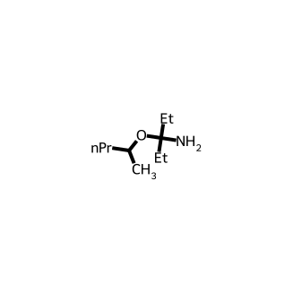 CCCC(C)OC(N)(CC)CC